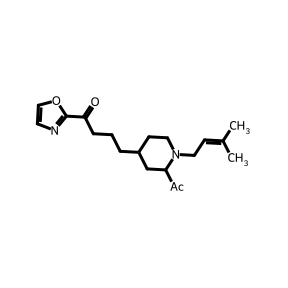 CC(=O)C1CC(CCCC(=O)c2ncco2)CCN1CC=C(C)C